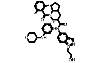 Cc1cccc(F)c1C(=O)N1C2CCCC2CC(C(=O)Nc2ccc3c(cnn3CCO)c2)[C@@H]1c1ccc(NC2CCOCC2)cc1